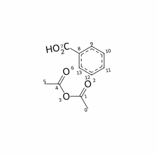 CC(=O)OC(C)=O.O=C(O)c1ccccc1